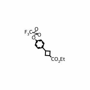 CCOC(=O)C1CC(c2ccc(OS(=O)(=O)C(F)(F)F)cc2)C1